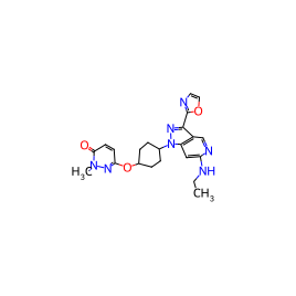 CCNc1cc2c(cn1)c(-c1ncco1)nn2C1CCC(Oc2ccc(=O)n(C)n2)CC1